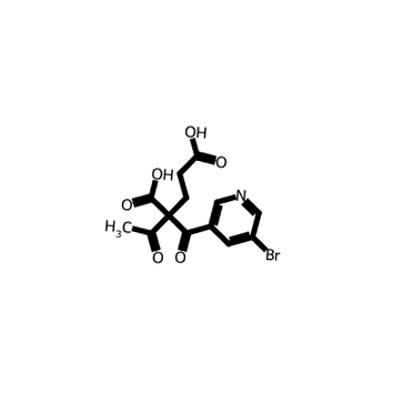 CC(=O)C(CCC(=O)O)(C(=O)O)C(=O)c1cncc(Br)c1